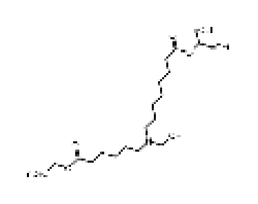 CCCCCCCCCCCOC(=O)CCCCCN(CO)CCCCCCCC(=O)OC(CCCCCCCC)CCCCCCCC